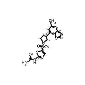 CC(=O)Nc1ncc(S(=O)(=O)N2CCC(c3cc(C)nc4ncnn34)C2)s1